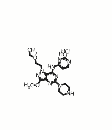 CCOCCn1nc(OC)c2nc(N3CCNCC3)nc(Nc3ccncn3)c21.Cl.Cl